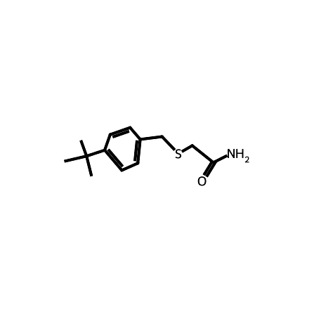 CC(C)(C)c1ccc(CSCC(N)=O)cc1